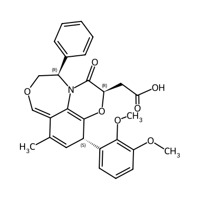 COc1cccc([C@@H]2C=C(C)C3=COC[C@@H](c4ccccc4)N4C(=O)[C@@H](CC(=O)O)OC2=C34)c1OC